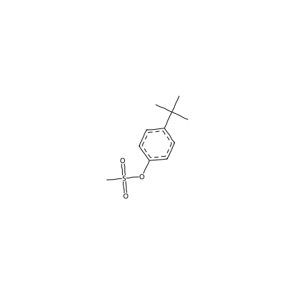 CC(C)(C)c1ccc(OS(C)(=O)=O)cc1